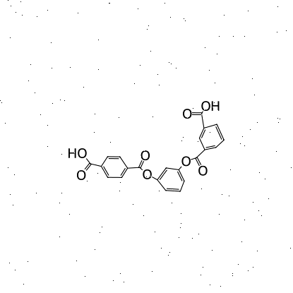 O=C(O)c1ccc(C(=O)Oc2cccc(OC(=O)c3cccc(C(=O)O)c3)c2)cc1